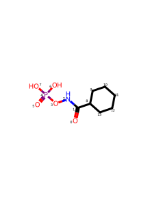 O=C(NOP(=O)(O)O)C1CCCCC1